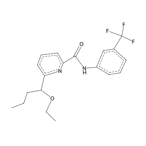 CCCC(OCC)c1cccc(C(=O)Nc2cccc(C(F)(F)F)c2)n1